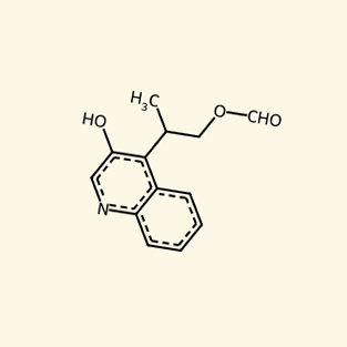 CC(COC=O)c1c(O)cnc2ccccc12